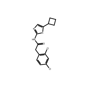 O=C(Cc1ccc(Cl)cc1Cl)Nc1ncc(C2CCC2)s1